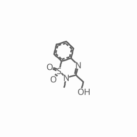 CN1C(CO)=Nc2ccccc2S1(=O)=O